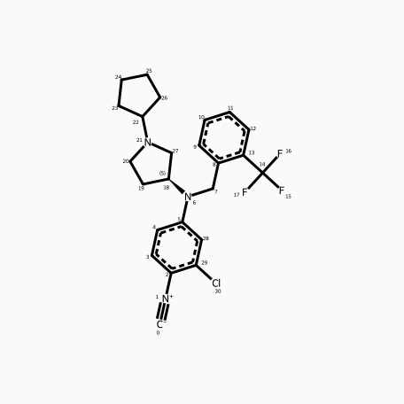 [C-]#[N+]c1ccc(N(Cc2ccccc2C(F)(F)F)[C@H]2CCN(C3CCCC3)C2)cc1Cl